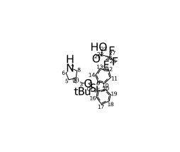 CC(C)(C)[Si](OC[C@@H]1CCNC1)(c1ccccc1)c1ccccc1.O=C(O)C(F)(F)F